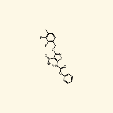 Cc1ccc(COc2nsc(NC(=O)Oc3ccccc3)c2C(N)=O)c(F)c1F